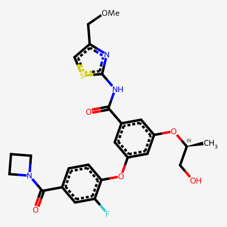 COCc1csc(NC(=O)c2cc(Oc3ccc(C(=O)N4CCC4)cc3F)cc(O[C@@H](C)CO)c2)n1